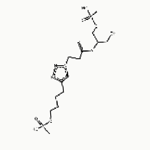 CP(=O)(O)OCCCCc1cn(CCC(=O)NC(CO)COP(C)(=O)O)nn1